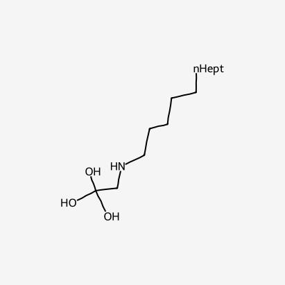 CCCCCCCCCCCCNCC(O)(O)O